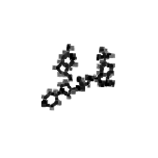 O=C(CNc1n[nH]c2ccc(C(F)(F)F)cc12)NC1CN(C2CCOCC2)C[C@@H]1SC1CCc2cc(F)ncc21